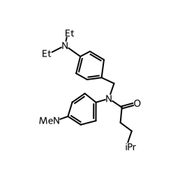 CCN(CC)c1ccc(CN(C(=O)CCC(C)C)c2ccc(NC)cc2)cc1